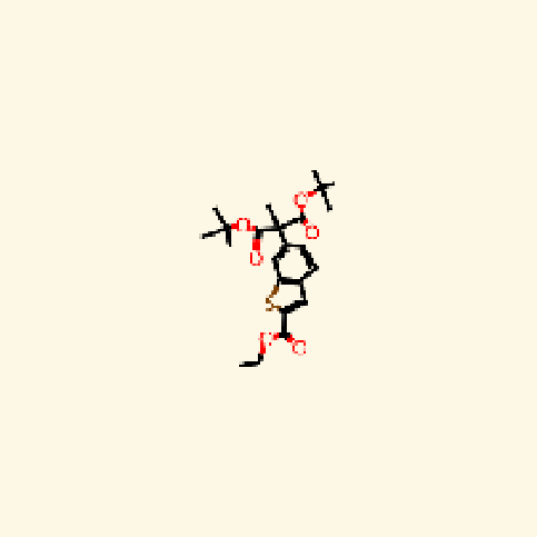 CCOC(=O)c1cc2ccc(C(C)(C(=O)OC(C)(C)C)C(=O)OC(C)(C)C)cc2s1